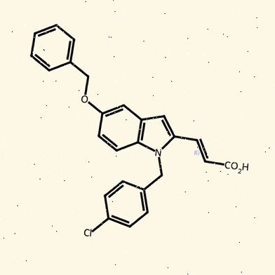 O=C(O)/C=C/c1cc2cc(OCc3ccccc3)ccc2n1Cc1ccc(Cl)cc1